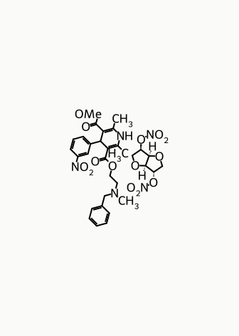 COC(=O)C1=C(C)NC(C)=C(C(=O)OCCN(C)Cc2ccccc2)C1c1cccc([N+](=O)[O-])c1.O=[N+]([O-])O[C@H]1CO[C@H]2[C@@H]1OC[C@H]2O[N+](=O)[O-]